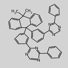 CC1(C)c2ccccc2C(c2cccc(-c3ncnc(-c4ccccc4)n3)c2)(c2cccc(-c3ncnc(-c4ccccc4)n3)c2)c2ccccc21